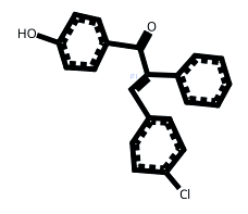 O=C(/C(=C/c1ccc(Cl)cc1)c1ccccc1)c1ccc(O)cc1